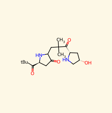 CC(C)(C)C(=O)[C@@H]1CC(=O)C(CC(C)(C)C(=O)[C@@H]2C[C@H](O)CN2)N1